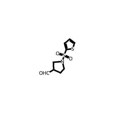 O=CC1CCN(S(=O)(=O)c2cccs2)C1